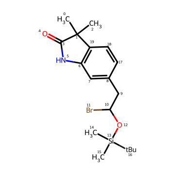 CC1(C)C(=O)Nc2cc(CC(Br)O[Si](C)(C)C(C)(C)C)ccc21